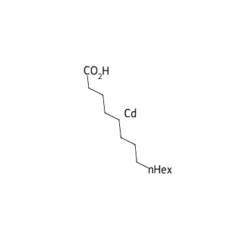 CCCCCCCCCCCCCC(=O)O.[Cd]